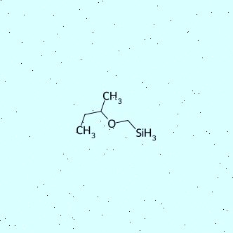 CCC(C)OC[SiH3]